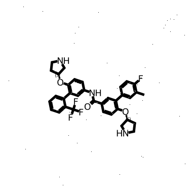 Cc1cc(-c2cc(C(=O)Nc3ccc(O[C@H]4CCNC4)c(-c4ccccc4C(F)(F)F)c3)ccc2O[C@H]2CCNC2)ccc1F